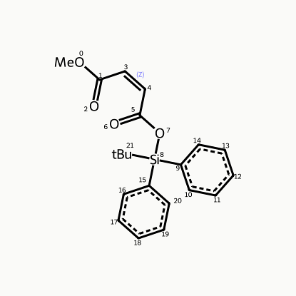 COC(=O)/C=C\C(=O)O[Si](c1ccccc1)(c1ccccc1)C(C)(C)C